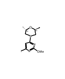 COc1nc(I)cc(N2C[C@H](C)O[C@@H](C)C2)n1